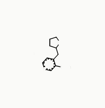 Cl.O=C(O)c1cnccc1CC1CCCO1